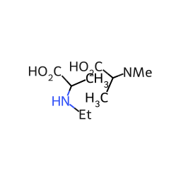 CCNC(C)C(=O)O.CNC(C)C(=O)O